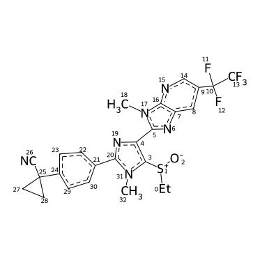 CC[S+]([O-])c1c(-c2nc3cc(C(F)(F)C(F)(F)F)cnc3n2C)nc(-c2ccc(C3(C#N)CC3)cc2)n1C